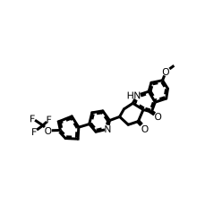 COc1ccc2c(=O)c3c([nH]c2c1)CC(c1ccc(-c2ccc(OC(F)(F)F)cc2)cn1)CC3=O